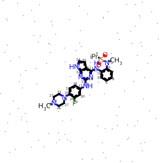 CC(C)S(=O)(=O)N(C)c1ccccc1Nc1nc(Nc2ccc(N3CCN(C)CC3)c(F)c2)nc2[nH]ccc12